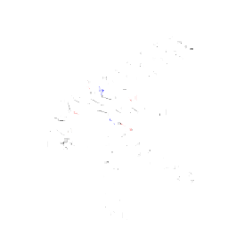 CCC/C=C(\O)C1=c2cc3c(cc2N(CC(CCCCCCCCCC)CCCCCCCCCCCC)C1=O)=C(c1ccc(-c2ccc(C(C)(C)C)s2)o1)C(=O)N3CC(CCCCCCCCCC)CCCCCCCCCCCC